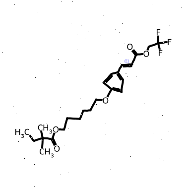 CCC(C)(C)C(=O)OCCCCCCOc1ccc(/C=C/C(=O)OCC(F)(F)F)cc1